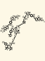 Cc1ncsc1-c1ccc([C@H](C)NC(=O)[C@@H]2C[C@@H](OC(=O)CCCCn3cc(CNC(=O)CC[C@H](NC(=O)c4ccc(NCc5cnc6nc(N)[nH]c(=O)c6n5)cc4)C(=O)O)nn3)CN2C(=O)[C@@H](NC(=O)COCCCOCCNC(=O)C[C@@H]2N=C(c3ccc(Cl)cc3)c3c(sc(C)c3C)-n3c(C)nnc32)C(C)(C)C)cc1.Nc1nc2ncc(CNc3ccc(C(=O)N[C@@H](CCC(=O)O)C(=O)O)cc3)nc2c(=O)[nH]1